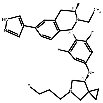 C[C@@H]1Cc2cc(-c3cn[nH]c3)ccc2[C@@H](c2c(F)cc(N[C@@H]3CN(CCCF)CC34CC4)cc2F)N1CC(F)(F)F